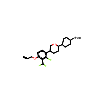 C=CCOc1ccc(C2CCC(C3CCC(CCCCC)CC3)OC2)c(F)c1C(F)F